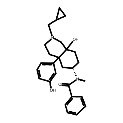 CN(C(=O)c1ccccc1)[C@H]1CCC2(O)CN(CC3CC3)CCC2(c2cccc(O)c2)C1